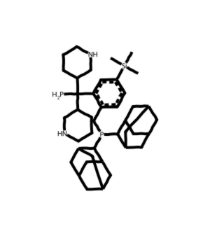 C[Si](C)(C)c1ccc(CP(C2C3CC4CC(C3)CC2C4)C2C3CC4CC(C3)CC2C4)c(C(P)(C2CCCNC2)C2CCCNC2)c1